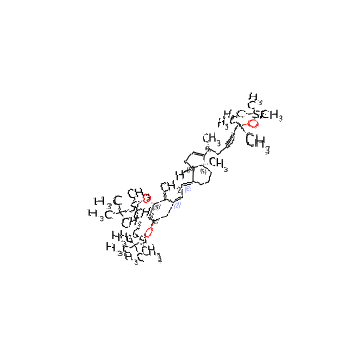 C=C1/C(=C\C=C2/CCC[C@]3(C)C([C@H](C)CC#CC(C)(C)O[Si](C)(C)C)=CC[C@@H]23)C[C@@H](O[Si](C)(C)C(C)(C)C)C[C@@H]1O[Si](C)(C)C(C)(C)C